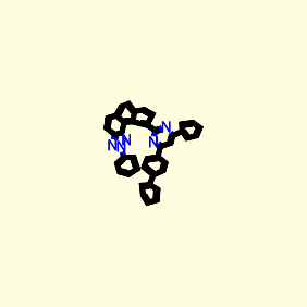 c1ccc(-c2ccc(-c3cc(-c4ccccc4)nc(-c4ccc5ccc6ccc7nn(-c8ccccc8)nc7c6c5c4)n3)cc2)cc1